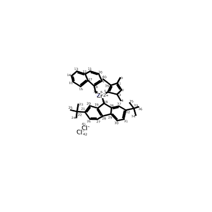 CC1=CC(C)[C](/[Zr+2](=[CH]\c2cccc3ccccc23)[CH]2c3cc(C(C)(C)C)ccc3-c3ccc(C(C)(C)C)cc32)=C1C.[Cl-].[Cl-]